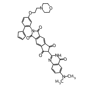 CN(C)c1ccc2nc(C3C(=O)c4cc5c(cc4C3=O)C(=O)N(c3cc(OCCN4CCOCC4)ccc3C3=CC=CC3)C5=O)[nH]c(=O)c2c1